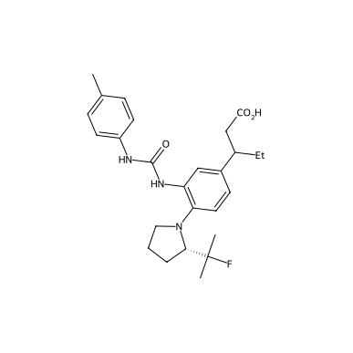 CCC(CC(=O)O)c1ccc(N2CCC[C@H]2C(C)(C)F)c(NC(=O)Nc2ccc(C)cc2)c1